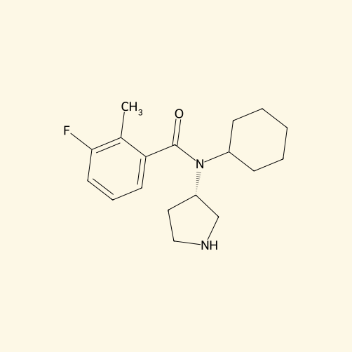 Cc1c(F)cccc1C(=O)N(C1CCCCC1)[C@H]1CCNC1